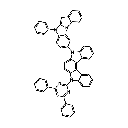 c1ccc(-c2nc(-c3ccccc3)nc(-n3c4ccccc4c4c5c6ccccc6n(-c6ccc7c(c6)n6c8ccccc8cc6n7-c6ccccc6)c5ccc43)n2)cc1